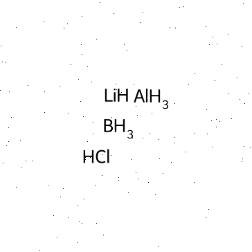 B.Cl.[AlH3].[LiH]